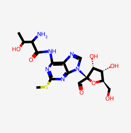 CSc1nc(NC(=O)C(N)C(C)O)c2ncn([C@]3(C=O)O[C@H](CO)[C@@H](O)[C@H]3O)c2n1